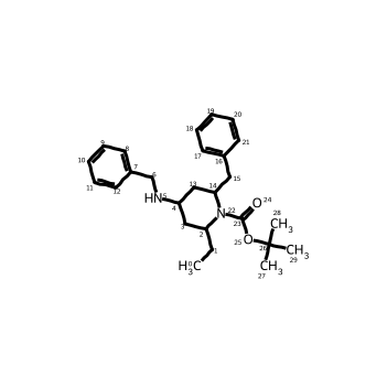 CCC1CC(NCc2ccccc2)CC(Cc2ccccc2)N1C(=O)OC(C)(C)C